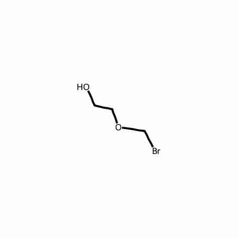 OCCOCBr